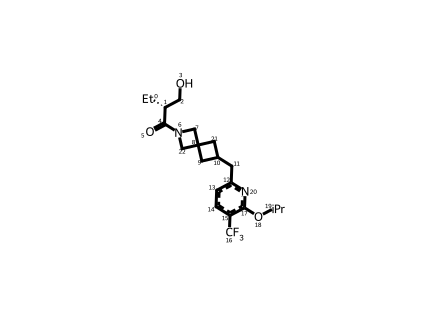 CC[C@H](CO)C(=O)N1CC2(CC(Cc3ccc(C(F)(F)F)c(OC(C)C)n3)C2)C1